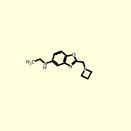 CCNc1ccc2oc(CN3CCC3)nc2c1